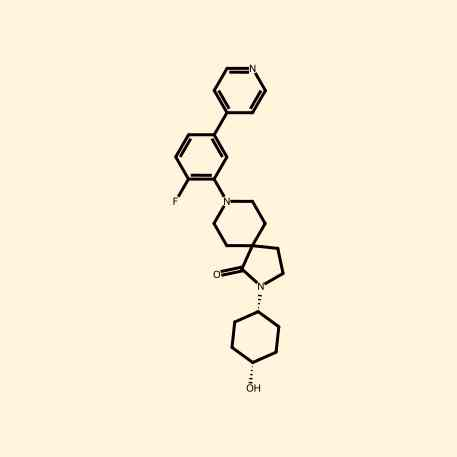 O=C1N([C@H]2CC[C@@H](O)CC2)CCC12CCN(c1cc(-c3ccncc3)ccc1F)CC2